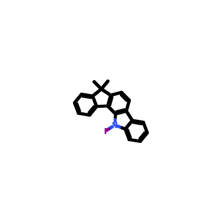 CC1(C)c2ccccc2-c2c1ccc1c3ccccc3n(I)c21